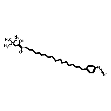 C[N+](C)(C)C/C(O)=[P+](\[O-])CCCCCCCCCCCCCCCCCCc1ccc(N=[N+]=[N-])cc1